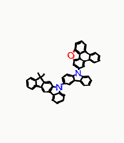 CC1(C)c2ccccc2-c2cc3c4ccccc4n(-c4ccc5c(c4)c4ccccc4n5-c4cc5oc6cccc7c8ccccc8c(c4)c5c67)c3cc21